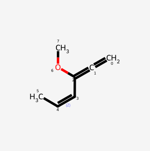 C=C=C(/C=C\C)OC